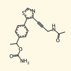 CC(=O)NCC#Cc1ncsc1-c1ccc(C(C)OC(N)=O)cc1